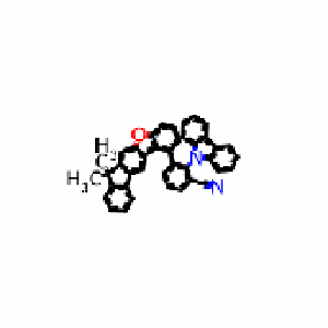 CC1(C)c2ccccc2-c2cc3c(cc21)oc1cccc(-c2cccc(C#N)c2-n2c4ccccc4c4ccccc42)c13